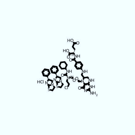 Cl.Nc1nc(=O)c2c([nH]1)NCC(CNc1ccc(C(=O)N[C@@H](CCC(=O)O)C(=O)O)cc1)N2C=O.O=NN(CCCl)C(=O)NC1CCCCC1.c1ccc([C@H]2CN3CCSC3=N2)cc1.c1ccc([C@H]2CN3CCSC3=N2)cc1